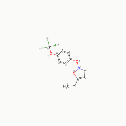 CCC1=CCN(Oc2ccc(OC(F)(F)F)cc2)O1